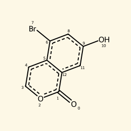 O=c1occc2c(Br)cc(O)cc12